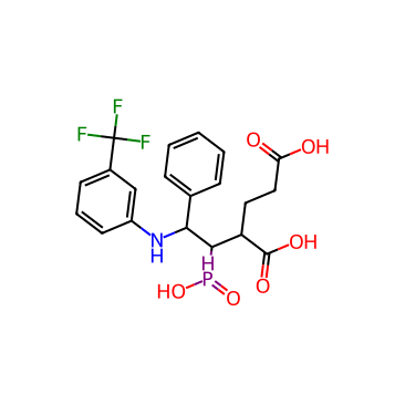 O=C(O)CCC(C(=O)O)C(C(Nc1cccc(C(F)(F)F)c1)c1ccccc1)[PH](=O)O